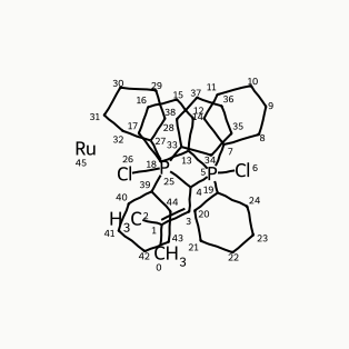 CC(C)=CC(P(Cl)(C1CCCCC1)(C1CCCCC1)C1CCCCC1)P(Cl)(C1CCCCC1)(C1CCCCC1)C1CCCCC1.[Ru]